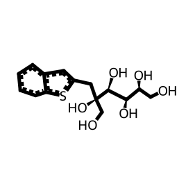 OC[C@H](O)[C@@H](O)[C@H](O)[C@](O)(CO)Cc1cc2ccccc2s1